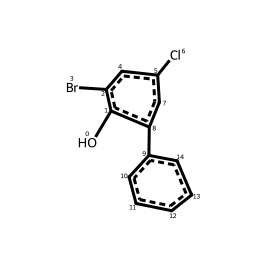 Oc1c(Br)cc(Cl)cc1-c1ccccc1